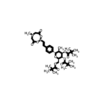 C[C@H]1[C@@H](OC(=O)C(C)(C)C)[C@H](OC(=O)C(C)(C)C)[C@@H](COC(=O)C(C)(C)C)O[C@@H]1c1ccc(/C=C/B2OC(=O)CN(C)CC(=O)O2)cc1